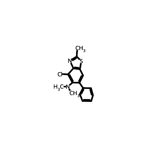 Cc1nc2c(Cl)c(N(C)C)c(-c3ccccc3)cc2s1